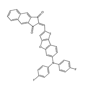 O=C1C(=Cc2cc3oc4cc(N(c5ccc(F)cc5)c5ccc(F)cc5)ccc4c3s2)C(=O)c2cc3ccccc3cc21